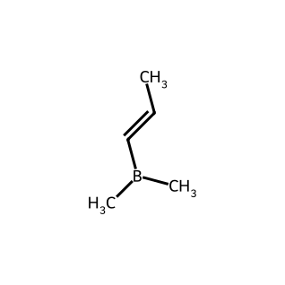 CC=CB(C)C